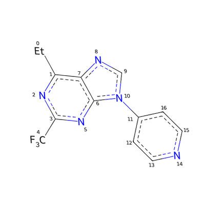 CCc1nc(C(F)(F)F)nc2c1ncn2-c1ccncc1